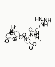 CNC(=N)NCCC[C@H](N)C(=O)NCC1CC(C(=O)OC)CCN1C(=O)OC1=CC[C@H]2[C@H]3Cc4ccc(OC)c5c4[C@@]2(CCN3C)[C@H]1O5